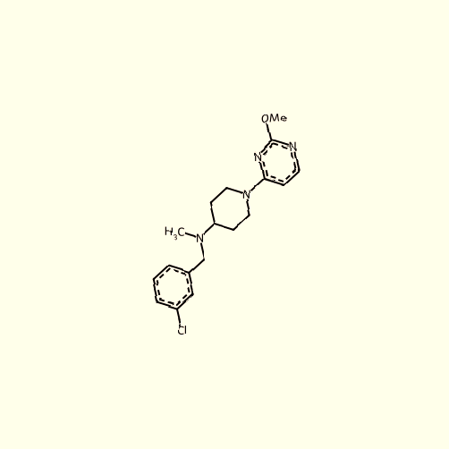 COc1nccc(N2CCC(N(C)Cc3cccc(Cl)c3)CC2)n1